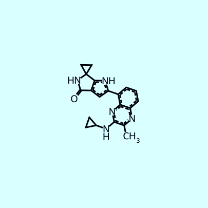 Cc1nc2cccc(-c3cc4c([nH]3)C3(CC3)NC4=O)c2nc1NC1CC1